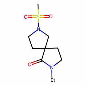 CCN1CCC2(CCN(S(C)(=O)=O)C2)C1=O